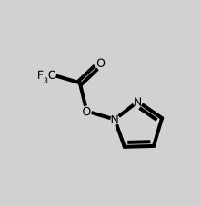 O=C(On1cccn1)C(F)(F)F